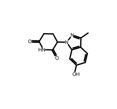 Cc1nn(C2CCC(=O)NC2=O)c2cc(O)ccc12